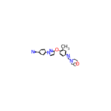 Cc1cc(/N=C/N2CCOCC2)ccc1Oc1ccn(-c2ccc(C#N)cc2)n1